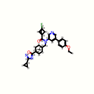 CCOc1ccc(-c2cncc(N(CC34CCC(c5nc(C6CC6)no5)(CC3)CC4)C(=O)C34CC(F)(C3)C4)c2)cc1